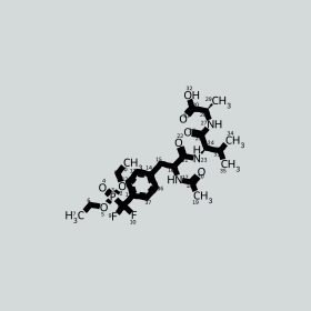 CCOP(=O)(OCC)C(F)(F)c1ccc(CC(NC(C)=O)C(=O)N[C@H](C(=O)N[C@@H](C)C(=O)O)C(C)C)cc1